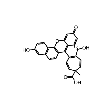 CC1(C(=O)O)C=CC(C(=O)O)=C(c2c3ccc(=O)cc-3oc3c2ccc2cc(O)ccc23)C=C1